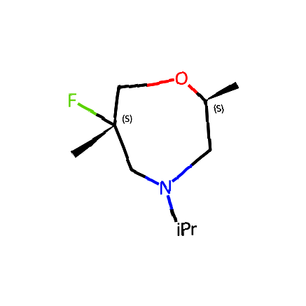 CC(C)N1C[C@H](C)OC[C@@](C)(F)C1